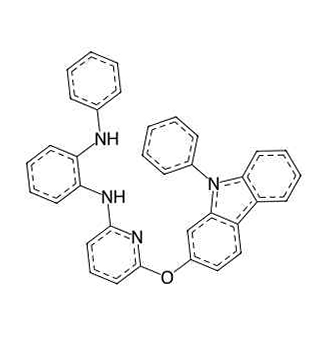 c1ccc(Nc2ccccc2Nc2cccc(Oc3ccc4c5ccccc5n(-c5ccccc5)c4c3)n2)cc1